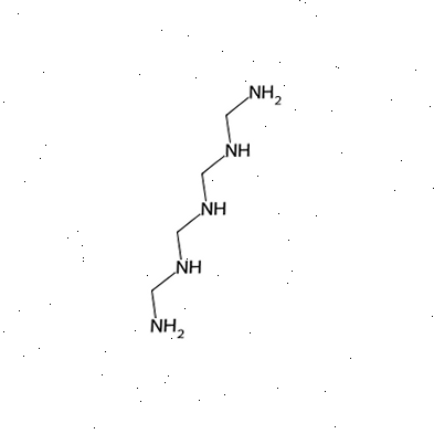 NCNCNCNCN